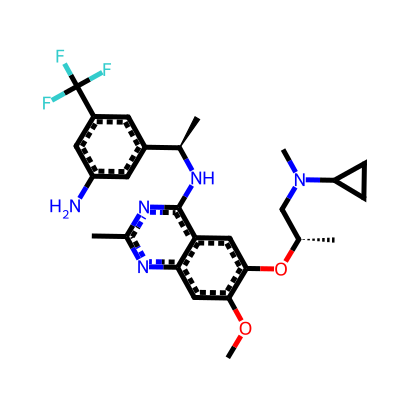 COc1cc2nc(C)nc(N[C@H](C)c3cc(N)cc(C(F)(F)F)c3)c2cc1O[C@@H](C)CN(C)C1CC1